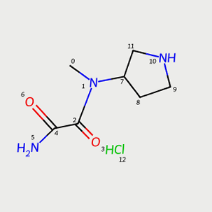 CN(C(=O)C(N)=O)C1CCNC1.Cl